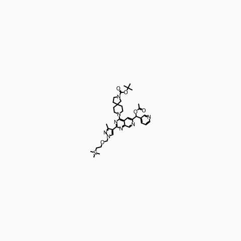 CC(=O)OC(c1cccnc1)c1cc2c(N3CCC4(CCN(C(=O)OC(C)(C)C)C4)CC3)nc(-c3cn(COCC[Si](C)(C)C)nc3C)nc2cn1